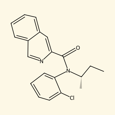 CC[C@H](C)N(C(=O)c1cc2ccccc2cn1)c1ccccc1Cl